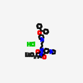 CCOC(=O)C(C)(C)n1c(=O)c2cc(-n3cccc3)ccc2n(CCCCN2CCC(OC(c3ccccc3)c3ccccc3)CC2)c1=O.Cl